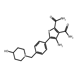 NC(=O)c1sc(-c2ccc(CN3CCC(O)CC3)cc2)c(N)c1C(N)=O